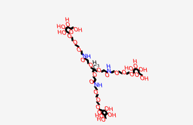 CC(COCCC(=O)NCCOCCOCCO[C@H]1OC(CO)[C@@H](O)C(O)C1O)(COCCC(=O)NCCOCCOCCO[C@H]1OC(CO)[C@@H](O)C(O)C1O)COCCC(=O)NCCOCCOCCO[C@H]1OC2(O)C1C(O)[C@H](O)C2CO